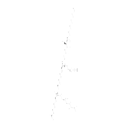 CCCCCCCCCCCOC(=O)CCCCCCN(CCO)CCCCCCCCOC(CCCCCCCC)CCCCCCCC